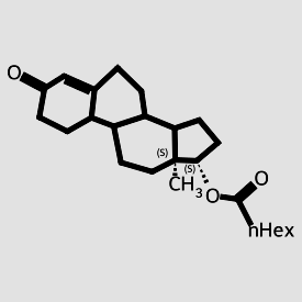 CCCCCCC(=O)O[C@H]1CCC2C3CCC4=CC(=O)CCC4C3CC[C@@]21C